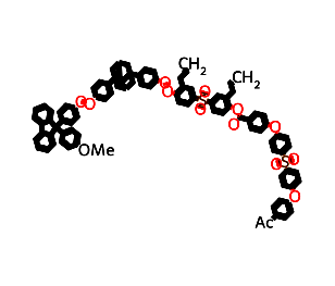 C=CCc1cc(S(=O)(=O)c2ccc(OC(=O)c3ccc(Oc4ccc(S(=O)(=O)c5ccc(Oc6ccc(C(C)=O)cc6)cc5)cc4)cc3)c(CC=C)c2)ccc1OOc1ccc(C23CC4CC(CC(c5ccc(OOc6ccc(C7(c8ccc(OC)cc8)c8ccccc8-c8ccccc87)cc6)cc5)(C4)C2)C3)cc1